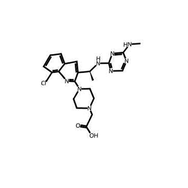 CNc1ncnc(N[C@@H](C)c2cc3cccc(Cl)c3nc2N2CCN(CC(=O)O)CC2)n1